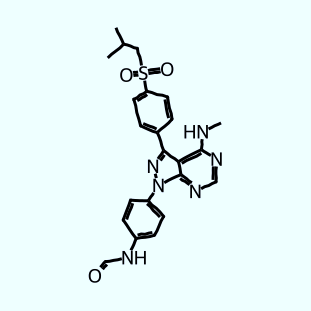 CNc1ncnc2c1c(-c1ccc(S(=O)(=O)CC(C)C)cc1)nn2-c1ccc(NC=O)cc1